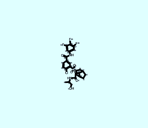 CC(CO)NC(=O)C[C@]1(O)C2CCC1C[C@@H](S(=O)(=O)c1cc(C(=O)Nc3cc(F)c(F)c(F)c3)ccc1Cl)C2